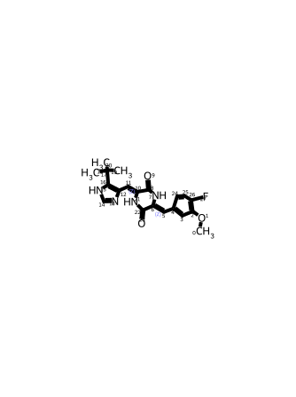 COc1cc(/C=c2\[nH]c(=O)/c(=C/c3nc[nH]c3C(C)(C)C)[nH]c2=O)ccc1F